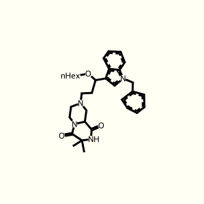 CCCCCCOC(CCN1CCN2C(=O)C(C)(C)NC(=O)C2C1)c1cn(Cc2ccccc2)c2ccccc12